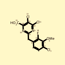 COc1c(Cl)ccc(Cc2nc(Cl)c(Cl)c(C(=O)O)n2)c1F